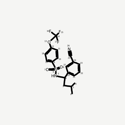 CC(C)CC(NS(=O)(=O)c1ccc(OC(F)(F)F)cc1)c1cccc(C#N)c1